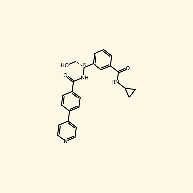 O=C(NC1CC1)c1cccc([C@@H](CO)NC(=O)c2ccc(-c3ccncc3)cc2)c1